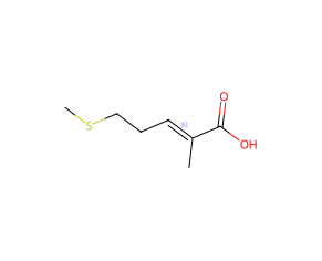 CSCC/C=C(\C)C(=O)O